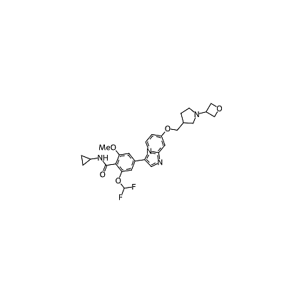 COc1cc(-c2cnc3cc(OCC4CCN(C5COC5)C4)ccn23)cc(OC(F)F)c1C(=O)NC1CC1